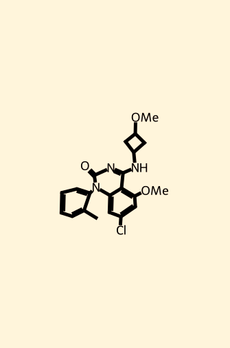 COc1cc(Cl)cc2c1c(NC1CC(OC)C1)nc(=O)n2-c1ccccc1C